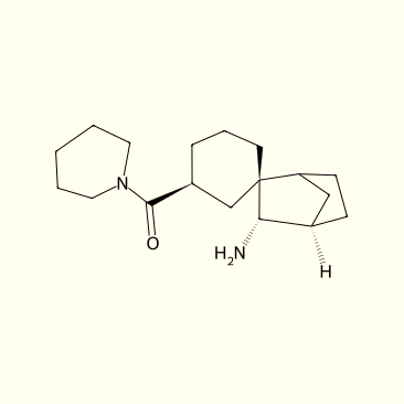 N[C@H]1[C@@H]2CCC(C2)[C@]12CCC[C@H](C(=O)N1CCCCC1)C2